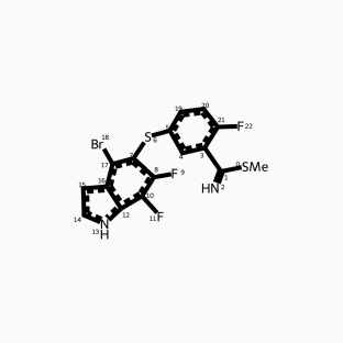 CSC(=N)c1cc(Sc2c(F)c(F)c3[nH]ccc3c2Br)ccc1F